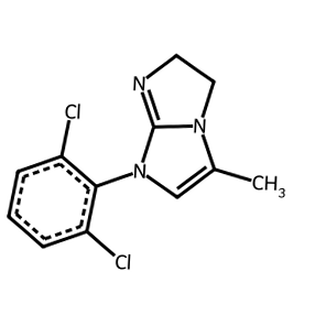 CC1=CN(c2c(Cl)cccc2Cl)C2=NCCN12